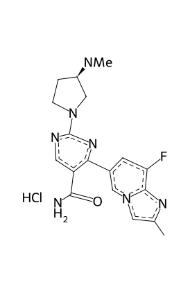 CN[C@@H]1CCN(c2ncc(C(N)=O)c(-c3cc(F)c4nc(C)cn4c3)n2)C1.Cl